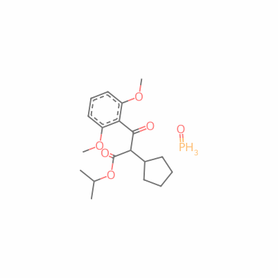 COc1cccc(OC)c1C(=O)C(C(=O)OC(C)C)C1CCCC1.O=[PH3]